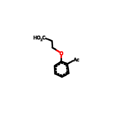 CC(=O)c1ccccc1OCCC(=O)O